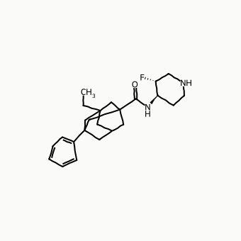 CCC12CC3CC(C(=O)N[C@@H]4CCNC[C@H]4F)(C1)CC(c1ccccc1)(C3)C2